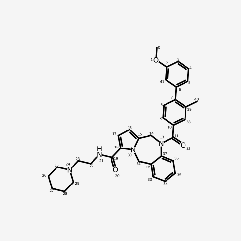 COc1cccc(-c2ccc(C(=O)N3Cc4ccc(C(=O)NCCN5CCCCC5)n4Cc4ccccc43)cc2C)c1